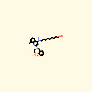 Cc1cccc2c(NCCCCCCCCCO)cc(N3CCS(O)(O)c4ccccc4C3)nc12